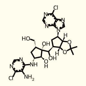 CC1(C)O[C@@H]2[C@H](O1)[C@@H](C(O)[C@]1(O)[C@@H](CO)C[C@@H](Nc3ncnc(Cl)c3N)[C@@H]1O)C[C@H]2n1cnc2c(Cl)ncnc21